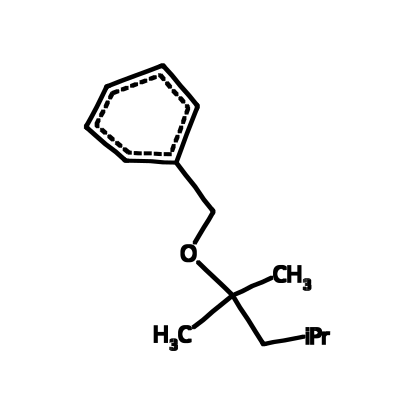 CC(C)CC(C)(C)OCc1ccccc1